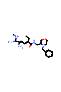 CC/C(=C\C=C(/N)C(N)NC)C(=O)NCC1COCCN1Cc1ccccc1